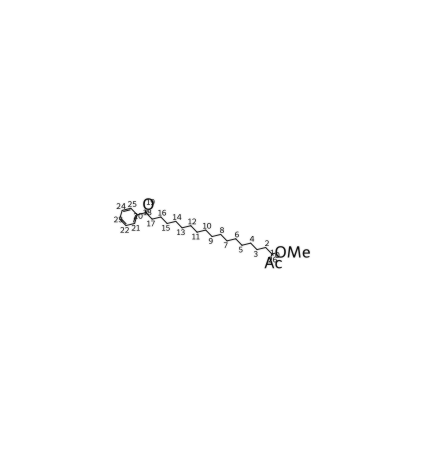 COC(CCCCCCCCCCCCCCCCC(=O)c1ccccc1)C(C)=O